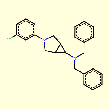 Fc1cccc(N2CC3C(C2)C3N(Cc2ccccc2)Cc2ccccc2)c1